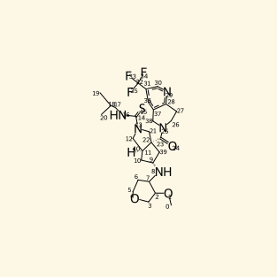 COC1COCCC1N[C@@H]1C[C@H]2CN(C(=S)NCC(C)C)C[C@@]2(C(=O)N2CCc3ncc(C(F)(F)F)cc3C2)C1